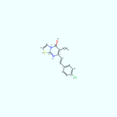 Cc1c(/C=C/c2ccc(Cl)cc2)nc2sccn2c1=O